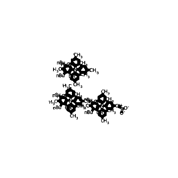 CCCCc1c(C)c(CCCC)c(CCCC)c([N+](c2ccc(C)cc2C)(c2ccc(C)cc2C)c2ccc(C)cc2C)c1C.CCCCc1c(C)c(CCCC)c(CCCC)c([N+](c2ccc(C)cc2C)(c2ccc(C)cc2C)c2ccc(C)cc2C)c1C.CCCCc1c(C)c(CCCC)c(CCCC)c([N+](c2ccc(C)cc2C)(c2ccc(C)cc2C)c2ccc(C)cc2C)c1C.[O-]B([O-])[O-]